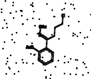 CC(=O)ON=C(CCCCl)c1ccccc1OC(C)=O